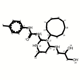 Cc1ccc(NC(=O)NC2NC(C)CC(NCC(O)CO)N2C2CCCCCCCC2)cc1